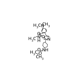 CCNS(=O)(=O)c1cc(N(C)C)ccc1-c1cnc(C2CCC(NC(=O)OC(C)C)CC2)s1